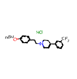 CCCCOc1ccc(CCN2CC=C(c3cccc(C(F)(F)F)c3)CC2)cc1.Cl